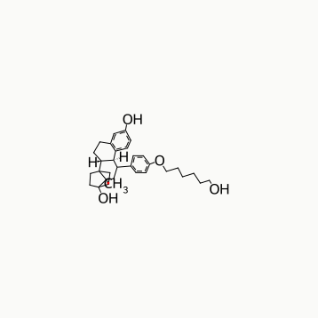 C[C@]12CC(c3ccc(OCCCCCCO)cc3)[C@@H]3c4ccc(O)cc4CC[C@H]3C13CCC2(O)CC3